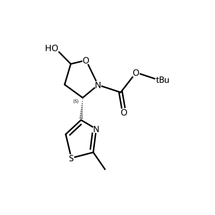 Cc1nc([C@@H]2CC(O)ON2C(=O)OC(C)(C)C)cs1